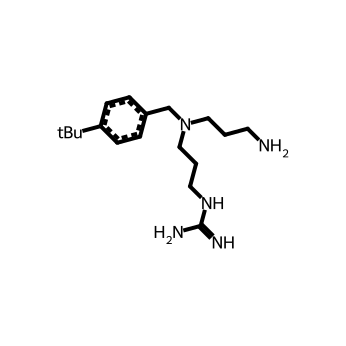 CC(C)(C)c1ccc(CN(CCCN)CCCNC(=N)N)cc1